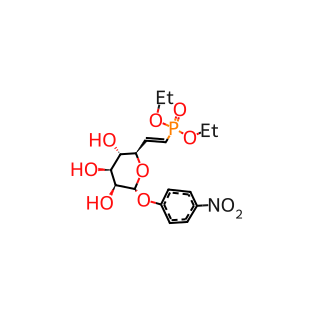 CCOP(=O)(/C=C/[C@H]1O[C@H](Oc2ccc([N+](=O)[O-])cc2)[C@@H](O)[C@@H](O)[C@@H]1O)OCC